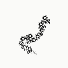 CN1CCC(CNCC(=O)N2CCCC(c3cccc(C(=O)N[C@@H](C(=O)N4CCN(CC5CCN(CC(=O)N6CCN(C(=O)c7cc(Cc8n[nH]c(=O)c9ccccc89)ccc7F)CC6)CC5)CC4)C4CCCCC4)c3)C2)CC1=O